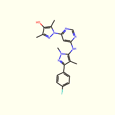 Cc1nn(-c2cc(Nc3c(C)c(-c4ccc(F)cc4)nn3C)ncn2)c(C)c1O